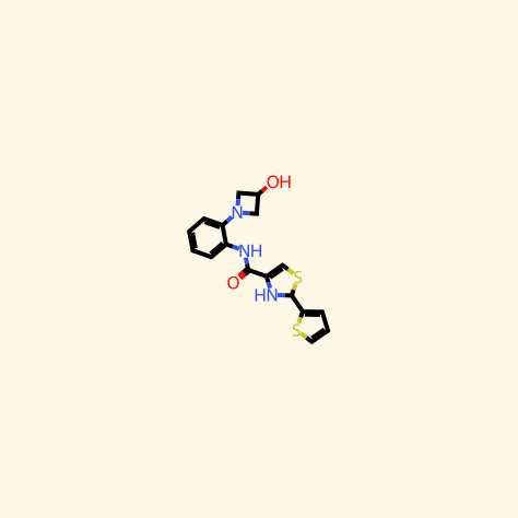 O=C(Nc1ccccc1N1CC(O)C1)C1=CSC(c2cccs2)N1